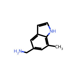 Cc1cc(CN)cc2cc[nH]c12